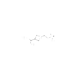 CC(C)C1CN(CCS(=O)(=O)I)C1